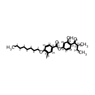 CCCCCCCCOc1ccc(C(=O)Oc2ccc(C(=O)[C@@H](C)CC)c(O)c2)cc1F